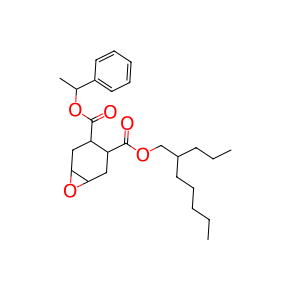 CCCCCC(CCC)COC(=O)C1CC2OC2CC1C(=O)OC(C)c1ccccc1